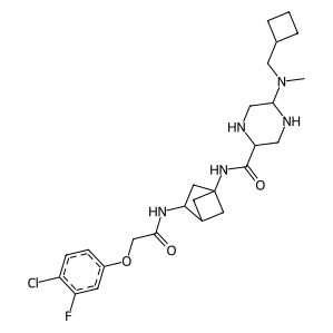 CN(CC1CCC1)C1CNC(C(=O)NC23CC(C2)C(NC(=O)COc2ccc(Cl)c(F)c2)C3)CN1